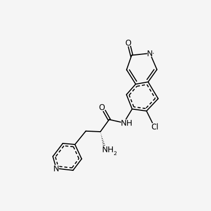 N[C@H](Cc1ccncc1)C(=O)Nc1cc2c(cc1Cl)=C[N]C(=O)C=2